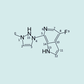 CN1C=CN(c2ncc(F)c3cc[nH]c23)N1